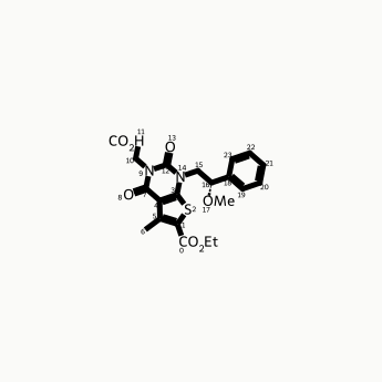 CCOC(=O)c1sc2c(c1C)c(=O)n(CC(=O)O)c(=O)n2C[C@@H](OC)c1ccccc1